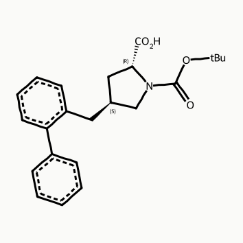 CC(C)(C)OC(=O)N1C[C@@H](Cc2ccccc2-c2ccccc2)C[C@@H]1C(=O)O